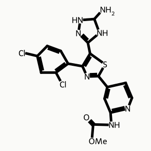 COC(=O)Nc1cc(-c2nc(-c3ccc(Cl)cc3Cl)c(C3=NNC(N)N3)s2)ccn1